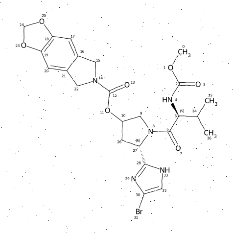 COC(=O)N[C@H](C(=O)N1CC(OC(=O)N2Cc3cc4c(cc3C2)OCO4)C[C@H]1c1nc(Br)c[nH]1)C(C)C